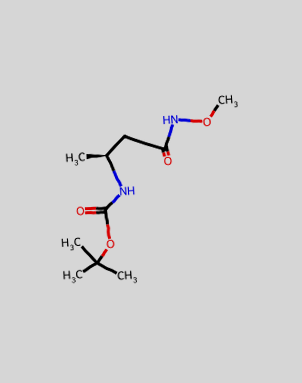 CONC(=O)C[C@H](C)NC(=O)OC(C)(C)C